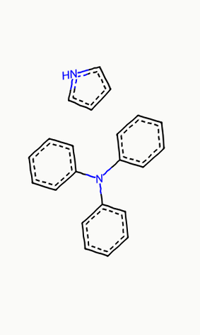 c1cc[nH]c1.c1ccc(N(c2ccccc2)c2ccccc2)cc1